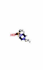 CN1CCN([SH](C)#CO)CC1